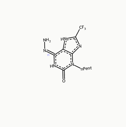 CCCCCn1c(=O)[nH]/c(=N/N)c2[nH]c(C(F)(F)F)nc21